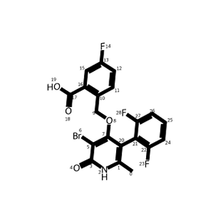 Cc1[nH]c(=O)c(Br)c(OCc2ccc(F)cc2C(=O)O)c1-c1c(F)cccc1F